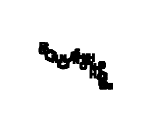 CCOC1CCN(c2cccc(-c3csc(NC(=O)CNC(=O)c4ccn(C(C)(C)C)c4)n3)n2)CC1